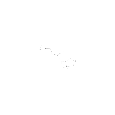 O=C(NC1CNCC1(F)F)OCC1CC1